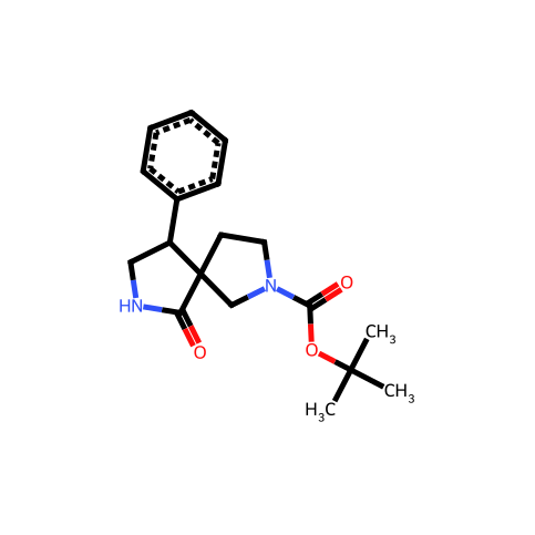 CC(C)(C)OC(=O)N1CCC2(C1)C(=O)NCC2c1ccccc1